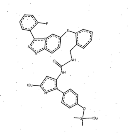 CC(C)(C)c1cc(NC(=O)NCc2ccccc2Sc2ccc3nnc(-c4ccccc4F)n3c2)n(-c2ccc(O[Si](C)(C)C(C)(C)C)cc2)n1